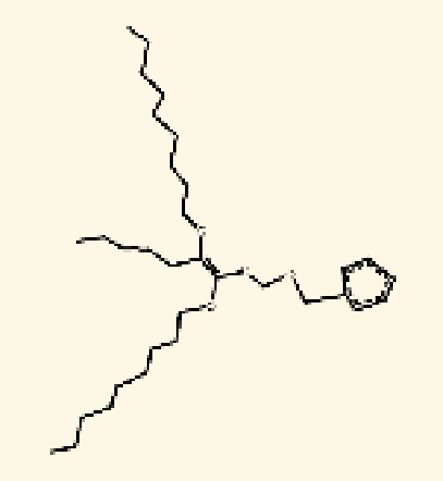 CCCCCCCCCOC(CCCCC)=C(OCCCCCCCCC)OCOCc1ccccc1